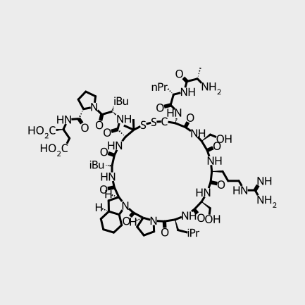 CCC[C@H](NC(=O)[C@H](C)N)C(=O)N[C@H]1CSSC(C)(C)[C@@H](C(=O)N[C@H](C(=O)N2CCC[C@H]2C(=O)N[C@@H](CC(=O)O)C(=O)O)[C@@H](C)CC)NC(=O)C([C@@H](C)CC)NC(=O)[C@@H]2C[C@@H]3CCCCC3N2C(=O)[C@@H]2CCCN2C(=O)[C@H](CC(C)C)NC(=O)[C@H](CO)NC(=O)[C@H](CCCNC(=N)N)NC(=O)[C@H](CO)NC1=O